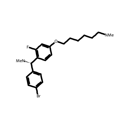 CNCCCCCCOc1ccc([C@@H](NC)c2ccc(Br)cc2)c(F)c1